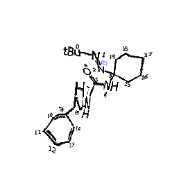 CC(C)(C)/N=N/C1(NC(=O)NNc2ccccc2)CCCCC1